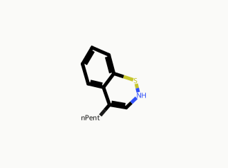 CCCCCC1=CNSc2ccccc21